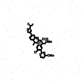 COCC(c1ccc(Cl)c(-c2nccc(OC)n2)c1)N(C=O)C(=N)NC(C)c1ccc(-c2cnn(C(F)F)c2)cc1